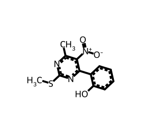 CSc1nc(C)c([N+](=O)[O-])c(-c2ccccc2O)n1